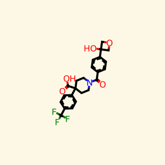 O=C(c1ccc(C2(O)COC2)cc1)N1CCC(C(=O)O)(c2ccc(C(F)(F)F)cc2)CC1